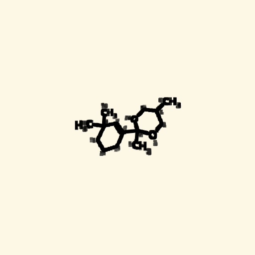 CC1COC(C)(C2=CC(C)(C)CCC2)OC1